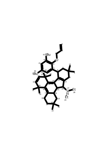 C=CCOc1c(C2CC(C)(C)CC3=C2C2=C4C(=C5CCC(C)(C)CC5C2C3[SiH](CC)CC)C(C)(C)C=CC4(C)C)cc(C(C)(C)C)cc1C(C)(C)C